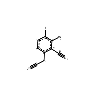 N#CCc1ccc(F)c(Br)c1C#N